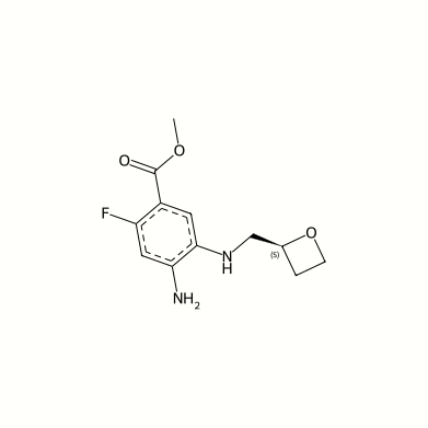 COC(=O)c1cc(NC[C@@H]2CCO2)c(N)cc1F